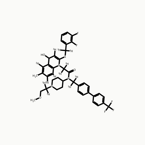 [2H]C1=C(SC([2H])([2H])c2cccc(F)c2F)N(C([2H])([2H])C(=O)N(C2CCN(C([2H])([2H])COC)CC2)C([2H])([2H])c2ccc(-c3ccc(C(F)(F)F)cc3)cc2)c2c([2H])c([2H])c(C)c([2H])c2C1O